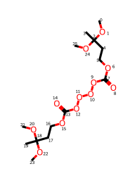 COC(C)(CCOC(=O)OOOOC(=O)OCCC(C)(OC)OC)OC